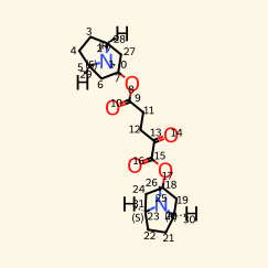 CN1[C@@H]2CC[C@H]1CC(OC(=O)CCC(=O)C(=O)OC1C[C@H]3CC[C@@H](C1)N3C)C2